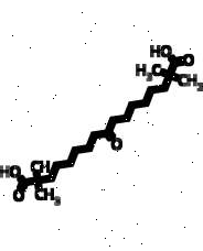 CC(C)(CCCCCCC(=O)CCCCCCC(C)(C)C(=O)O)C(=O)O